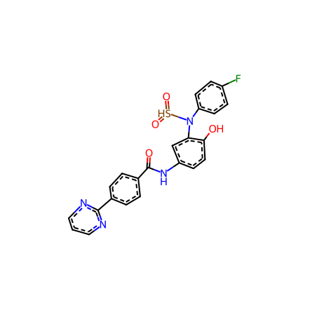 O=C(Nc1ccc(O)c(N(c2ccc(F)cc2)[SH](=O)=O)c1)c1ccc(-c2ncccn2)cc1